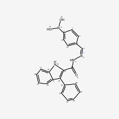 O=C(N/N=C\c1ccc(N(O)O)cc1)c1[nH]c2ccccc2c1-c1ccccc1